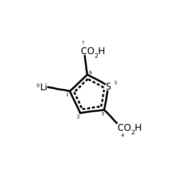 [Li][c]1cc(C(=O)O)sc1C(=O)O